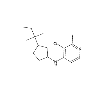 CCC(C)(C)C1CCC(Nc2ccnc(C)c2Cl)C1